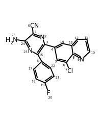 N#Cc1nc(-c2cc(Cl)c3ncccc3c2)c(-c2ccc(F)cc2)nc1N